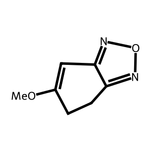 COC1=Cc2nonc2CC1